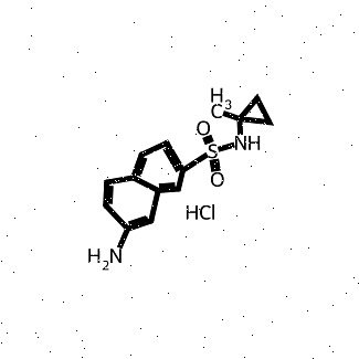 CC1(NS(=O)(=O)c2ccc3ccc(N)cc3c2)CC1.Cl